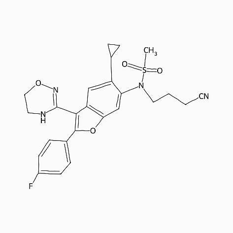 CS(=O)(=O)N(CCCC#N)c1cc2oc(-c3ccc(F)cc3)c(C3=NOCCN3)c2cc1C1CC1